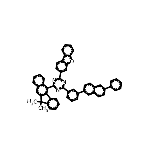 CC1(C)c2ccccc2-c2c1cc1ccccc1c2-c1nc(-c2cccc(-c3ccc4cc(-c5ccccc5)ccc4c3)c2)nc(-c2ccc3c(c2)oc2ccccc23)n1